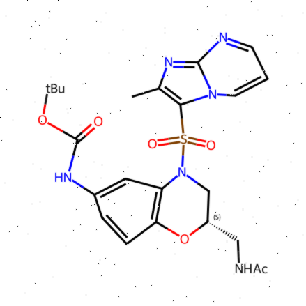 CC(=O)NC[C@H]1CN(S(=O)(=O)c2c(C)nc3ncccn23)c2cc(NC(=O)OC(C)(C)C)ccc2O1